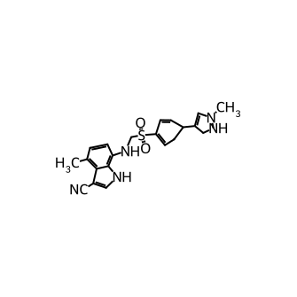 Cc1ccc(NCS(=O)(=O)C2=CCC(C3=CN(C)NC3)C=C2)c2[nH]cc(C#N)c12